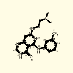 CN(C)CCNc1cc2nc[nH]c(=O)c2c(Nc2cccc(C(F)(F)F)c2)n1